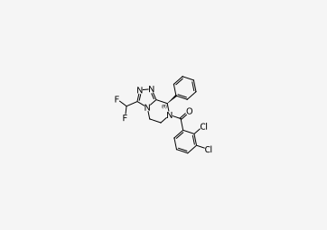 O=C(c1cccc(Cl)c1Cl)N1CCn2c(C(F)F)nnc2[C@H]1c1ccccc1